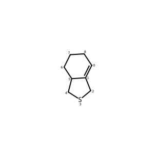 C1=C2CSCC2CCC1